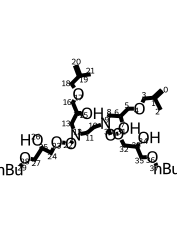 C=C(C)COCC(O)CN(CCN(CC(O)COCC(=C)C)OOCC(O)COCCCC)OOCC(O)COCCCC